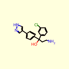 NCCC(O)(c1ccc(-c2cn[nH]c2)cc1)c1cccc(Cl)c1